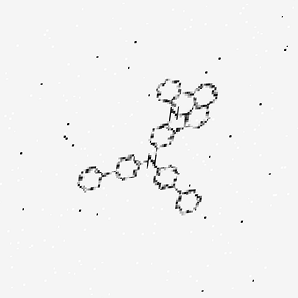 c1ccc(-c2ccc(N(c3ccc(-c4ccccc4)cc3)c3ccc4c(c3)c3ccc5cccc6c7ccccc7n4c3c56)cc2)cc1